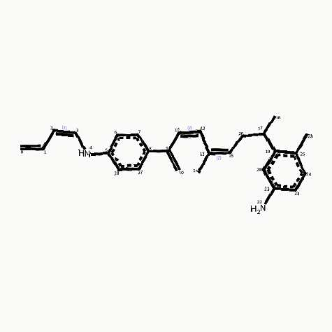 C=C/C=C\Nc1ccc(C(=C)/C=C\C(C)=C/CC(C)c2cc(N)ccc2C)cc1